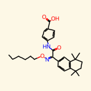 CCCCCCON=C(C(=O)Nc1ccc(C(=O)O)cc1)c1ccc2c(c1)C(C)(C)CCC2(C)C